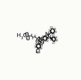 COC(=O)CCCCCN(c1ccc2c(c1)nc(-c1ccccc1)n2-c1ccccc1)S(=O)(=O)c1ccc(Cl)cc1